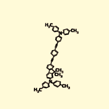 Cc1ccc(N(c2ccc(C)cc2)c2ccc(C#Cc3ccc(C#Cc4ccc5c(c4)C(C)(C)c4cc(N(c6ccc(C)cc6)c6ccc(C)cc6)ccc4-5)cc3)cc2)cc1